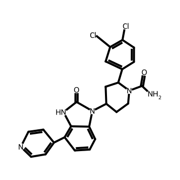 NC(=O)N1CCC(n2c(=O)[nH]c3c(-c4ccncc4)cccc32)CC1c1ccc(Cl)c(Cl)c1